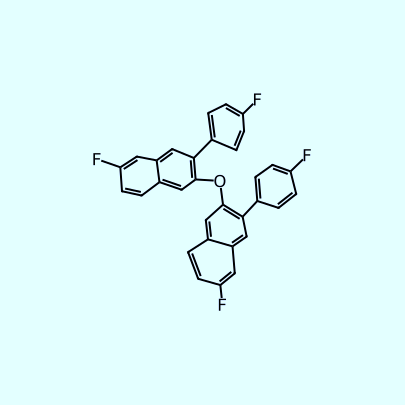 Fc1ccc(-c2cc3cc(F)ccc3cc2Oc2cc3ccc(F)cc3cc2-c2ccc(F)cc2)cc1